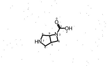 O=C(O)N1CC2CNCC21